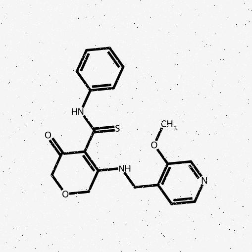 COc1cnccc1CNC1=C(C(=S)Nc2ccccc2)C(=O)COC1